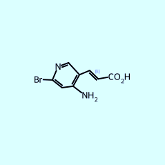 Nc1cc(Br)ncc1/C=C/C(=O)O